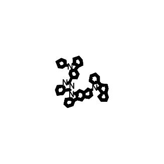 c1ccc(-n2c3ccccc3c3ccc(-c4nc(-n5c6ccccc6c6cc7ccc(-n8c9ccccc9c9ccc%10ccccc%10c98)cc7cc65)c5ccccc5n4)cc32)cc1